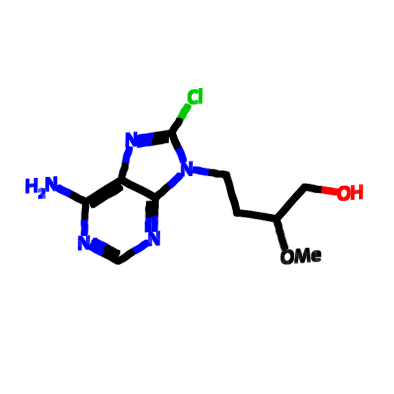 COC(CO)CCn1c(Cl)nc2c(N)ncnc21